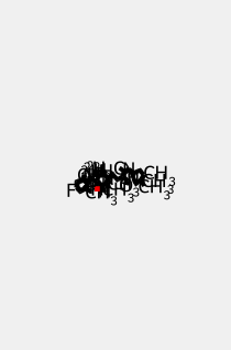 [2H]C1([2H])N(CCc2c(C)nc3n(c2=O)CC(C)(C)C(C)C3)C(C)(C)C([2H])([2H])C([2H])(c2noc3cc(F)cc(C)c23)C1([2H])[2H]